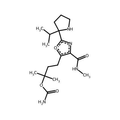 CNC(=O)c1nc(C2(C(C)C)CCCN2)oc1CCC(C)(C)OC(N)=O